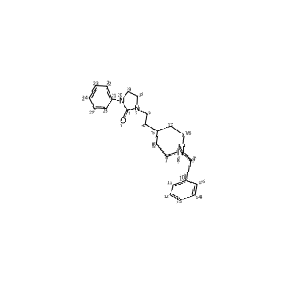 O=C1N(CCC2CCN(Cc3ccccc3)CC2)CCN1c1ccccc1